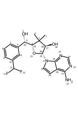 CC1(C)[C@@H]([C@@H](O)c2cccc(C(F)F)c2)O[C@@H](n2ccc3c(N)ncnc32)[C@@H]1O